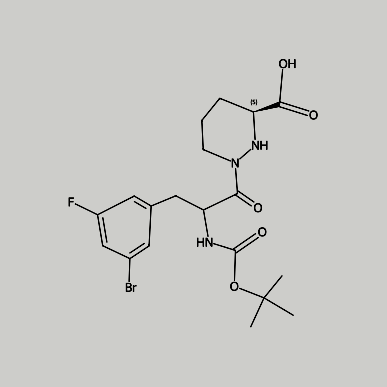 CC(C)(C)OC(=O)NC(Cc1cc(F)cc(Br)c1)C(=O)N1CCC[C@@H](C(=O)O)N1